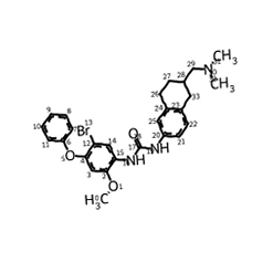 COc1cc(Oc2ccccc2)c(Br)cc1NC(=O)Nc1ccc2c(c1)CCC(CN(C)C)C2